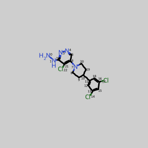 NNc1nncc(N2CCC(c3cc(Cl)cc(Cl)c3)CC2)c1Cl